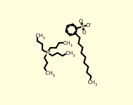 CCCCCCCCCCc1ccccc1S(=O)(=O)[O-].CCCC[P+](CCCC)(CCCC)CCCC